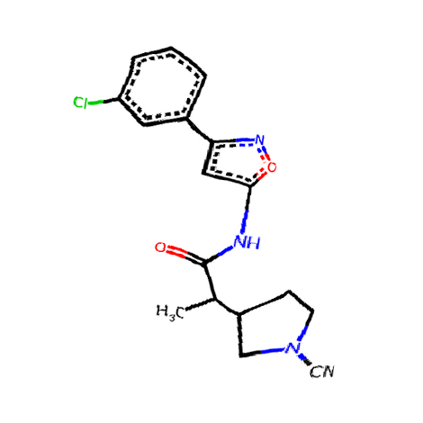 CC(C(=O)Nc1cc(-c2cccc(Cl)c2)no1)C1CCN(C#N)C1